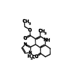 CCOC(=O)C1=C(C)NC2=C(C(=O)CCC2)C1c1nccn1C